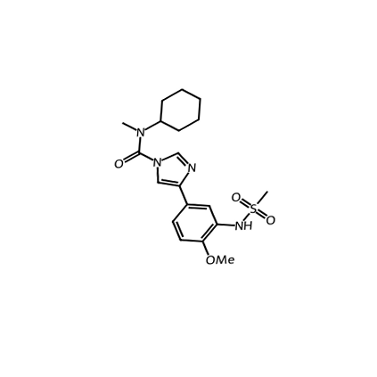 COc1ccc(-c2cn(C(=O)N(C)C3CCCCC3)cn2)cc1NS(C)(=O)=O